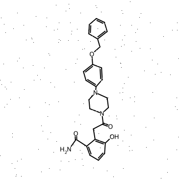 NC(=O)c1cccc(O)c1CC(=O)N1CCN(c2ccc(OCc3ccccc3)cc2)CC1